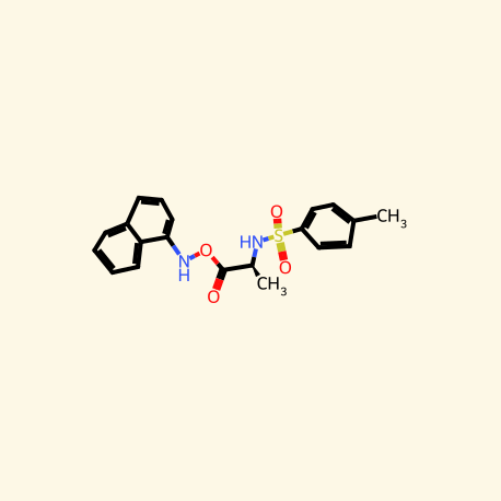 Cc1ccc(S(=O)(=O)N[C@@H](C)C(=O)ONc2cccc3ccccc23)cc1